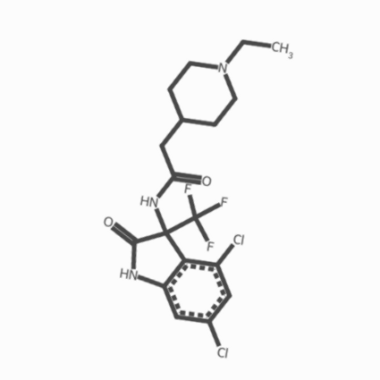 CCN1CCC(CC(=O)NC2(C(F)(F)F)C(=O)Nc3cc(Cl)cc(Cl)c32)CC1